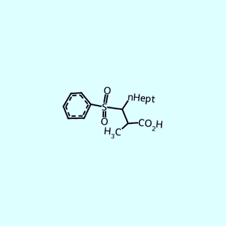 CCCCCCCC(C(C)C(=O)O)S(=O)(=O)c1ccccc1